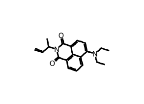 C=CC(C)N1C(=O)c2cccc3c(N(CC)CC)ccc(c23)C1=O